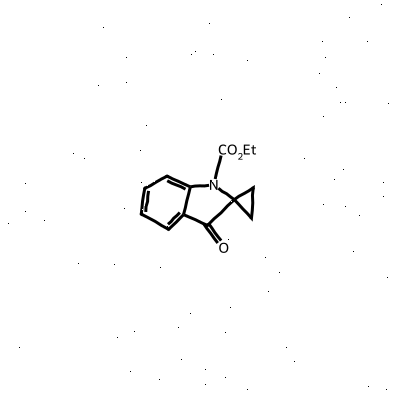 CCOC(=O)N1c2ccccc2C(=O)C12CC2